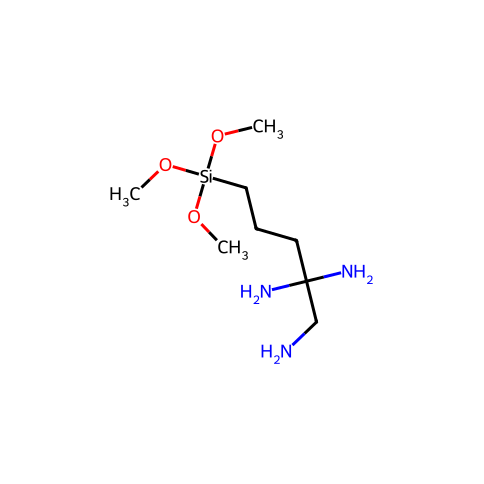 CO[Si](CCCC(N)(N)CN)(OC)OC